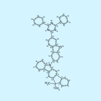 CC1(C)c2ccccc2-c2cc3c(cc21)c1ccccc1n3-c1ccc2oc3cc(-c4nc(-c5ccccc5)nc(-c5ccccc5)n4)ccc3c2c1